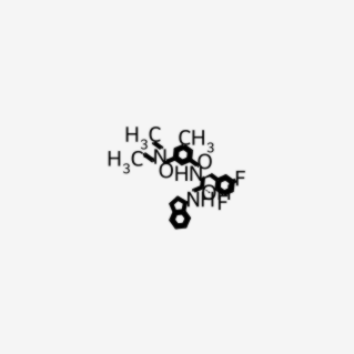 CCCN(CCC)C(=O)c1cc(C)cc(C(=O)N[C@@H](Cc2cc(F)cc(F)c2)[C@H](O)CN[C@H]2CCc3ccccc32)c1